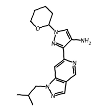 CC(C)Cn1ncc2cnc(-c3nn(C4CCCCO4)cc3N)cc21